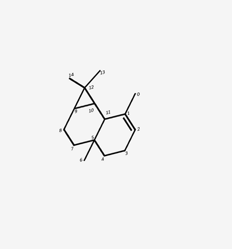 CC1=CCCC2(C)CCC3C(C12)C3(C)C